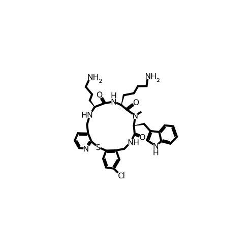 CN1C(=O)[C@H](CCCCN)NC(=O)[C@H](CCCN)NCc2cccnc2Sc2ccc(Cl)cc2CNC(=O)[C@@H]1Cc1c[nH]c2ccccc12